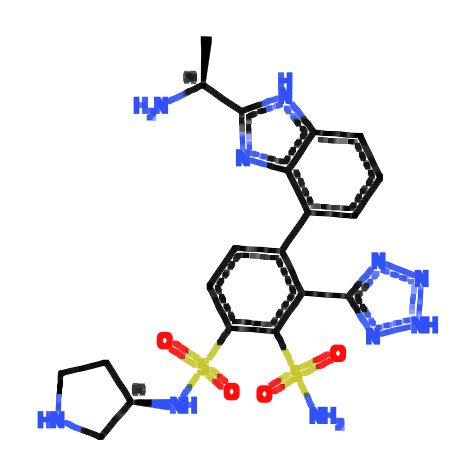 C[C@H](N)c1nc2c(-c3ccc(S(=O)(=O)N[C@@H]4CCNC4)c(S(N)(=O)=O)c3-c3nn[nH]n3)cccc2[nH]1